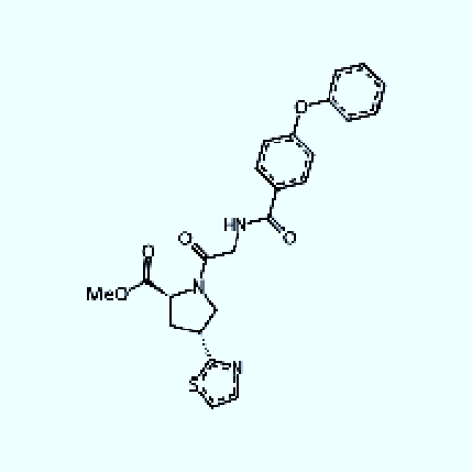 COC(=O)[C@@H]1C[C@@H](c2nccs2)CN1C(=O)CNC(=O)c1ccc(Oc2ccccc2)cc1